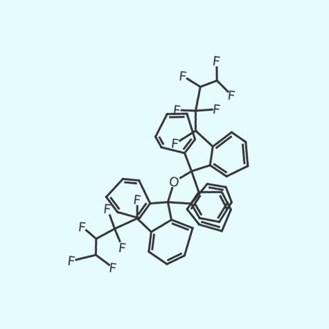 FC(F)C(F)C(F)(F)C(F)c1ccccc1C(OC(c1ccccc1)(c1ccccc1)c1ccccc1C(F)C(F)(F)C(F)C(F)F)(c1ccccc1)c1ccccc1